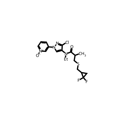 CCN(C(=O)C(C)CSCC1CC1(F)F)c1cn(-c2ccc[n+]([O-])c2)nc1Cl